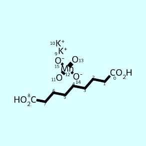 O=C(O)CCCCCCCC(=O)O.[K+].[K+].[O]=[Mn](=[O])([O-])[O-]